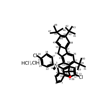 Cl.Cl.[CH2]=[Zr]([C]1=CC=CC1)([c]1ccc(Cl)cc1)([c]1ccc(Cl)cc1)[c]1c2c(cc(C(C)(C)C)c1C(C)(C)C)-c1cc(C(C)(C)C)c(C(C)(C)C)cc1C2